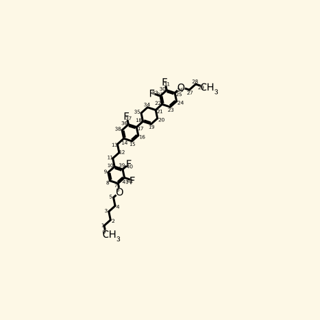 CCCCCCOc1ccc(CCCc2ccc(C3=CCC(c4ccc(OCCC)c(F)c4F)CC3)c(F)c2)c(F)c1F